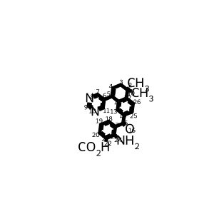 CC1(C)CC=C(c2cncnc2)c2cc(C(=O)c3cccc(C(=O)O)c3N)ccc21